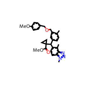 COC(=O)C1(C(c2ccc(C)c(COCc3ccc(OC)cc3)c2)c2ccc3c(nnn3C)c2C)CC1